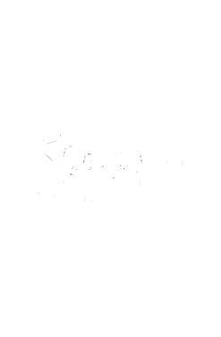 Br.CCOC(=O)C(C)N1CCC(OC(=O)[C@H](O)c2ccccc2C2CCCC2)C1